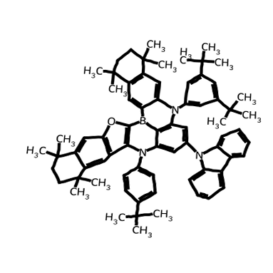 CC(C)(C)c1ccc(N2c3cc(-n4c5ccccc5c5ccccc54)cc4c3B(c3cc5c(cc3N4c3cc(C(C)(C)C)cc(C(C)(C)C)c3)C(C)(C)CCC5(C)C)c3oc4cc5c(cc4c32)C(C)(C)CCC5(C)C)cc1